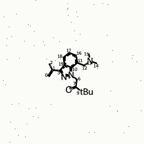 C=C(C)c1nn(CC(=O)C(C)(C)C)c2c(CN(C)C)cccc12